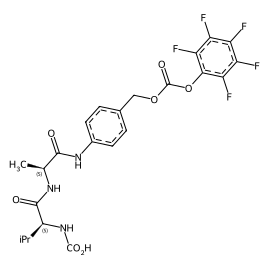 CC(C)[C@H](NC(=O)O)C(=O)N[C@@H](C)C(=O)Nc1ccc(COC(=O)Oc2c(F)c(F)c(F)c(F)c2F)cc1